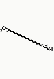 CCOCCCCCCCCCCCCCCCCCCNCCCN